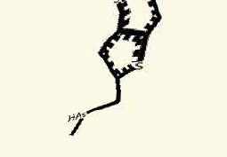 C[AsH]Cc1cc2sccc2s1